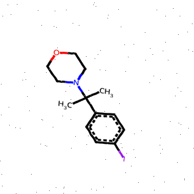 CC(C)(c1ccc(I)cc1)N1CCOCC1